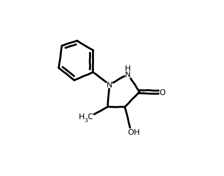 CC1C(O)C(=O)NN1c1ccccc1